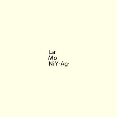 [Ag].[La].[Mo].[Ni].[Y]